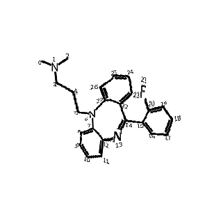 CN(C)CCCN1c2ccccc2N=C(c2ccccc2F)c2ccccc21